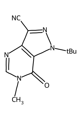 Cn1cnc2c(C#N)nn(C(C)(C)C)c2c1=O